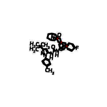 Cc1ccc(-n2nc(C(C)(C)C)cc2NC(=O)Nc2cccc(CC3CC4CCC(C3)N4C(=O)CCC(=O)c3ccc(F)cc3)c2)cc1